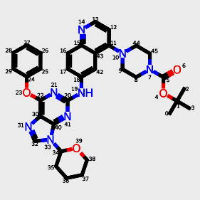 CC(C)(C)OC(=O)N1CCN(c2ccnc3ccc(Nc4nc(Oc5ccccc5)c5ncn(C6CCCCO6)c5n4)cc23)CC1